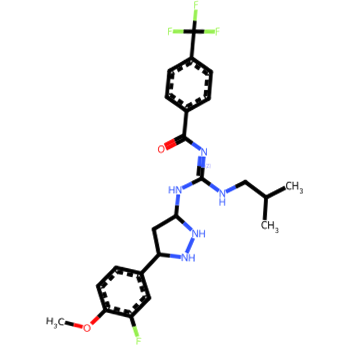 COc1ccc(C2CC(N/C(=N\C(=O)c3ccc(C(F)(F)F)cc3)NCC(C)C)NN2)cc1F